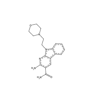 NC(=O)c1cc2c3ccccc3n(CCN3CCOCC3)c2nc1N